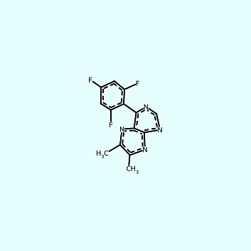 Cc1nc2ncnc(-c3c(F)cc(F)cc3F)c2nc1C